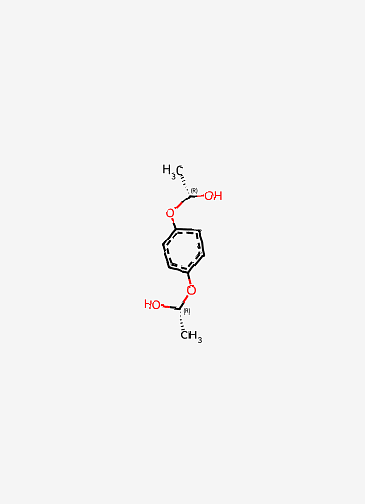 C[C@H](O)Oc1ccc(O[C@H](C)O)cc1